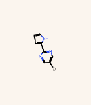 CCc1cnc(-c2ccc[nH]2)nc1